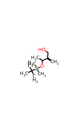 C=C(CO)C(C)O[Si](C)(C)C(C)(C)C